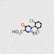 CCn1cc(C(=O)O)c(=O)cc1-c1c(Cl)cccc1Cl